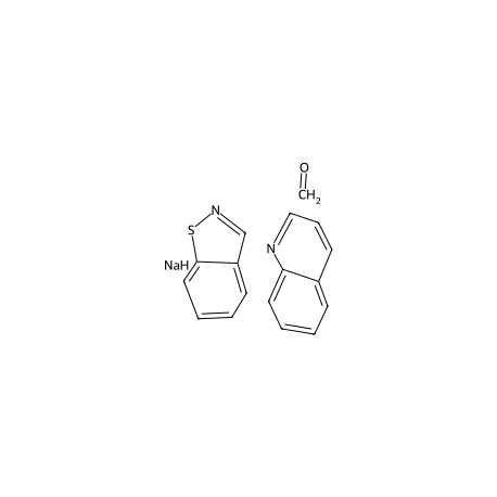 C=O.[NaH].c1ccc2ncccc2c1.c1ccc2sncc2c1